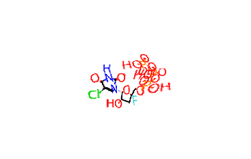 O=c1[nH]c(=O)n([C@@H]2O[C@](F)(COP(=O)(O)OP(=O)(O)OP(=O)(O)O)C[C@H]2O)cc1Cl